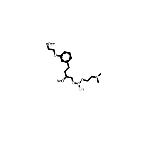 CCCCCCCCCCCCOc1cccc(CCC(COP(O)OCCN(C)C)OC(C)=O)c1